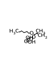 C=C(C)C(=O)OCCCCCC.O=S(=O)(O)O